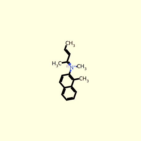 CC=C/C(C)=[N+](\C)c1ccc2ccccc2c1C